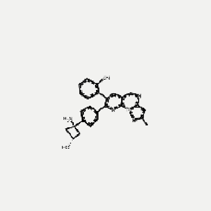 Cc1cc2ncc3cc(-c4ccccc4C#N)c(-c4ccc([C@]5(N)C[C@H](O)C5)cc4)nc3n2n1